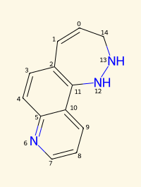 C1=Cc2ccc3ncccc3c2NNC1